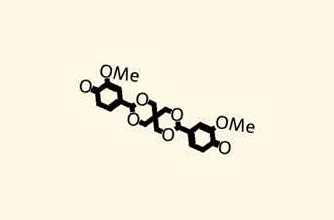 COC1=CC(C2OCC3(CO2)COC(C2=CCC(=O)C(OC)=C2)OC3)=CCC1=O